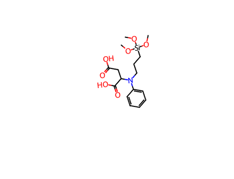 CO[Si](CCCN(c1ccccc1)C(CC(=O)O)C(=O)O)(OC)OC